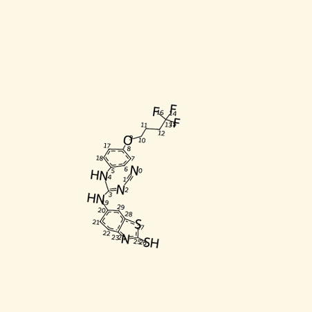 N#CN=C(Nc1ccc(OCCCC(F)(F)F)cc1)Nc1ccc2nc(S)sc2c1